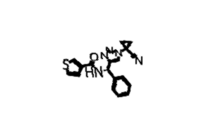 N#CC1(n2cc([C@@H](NC(=O)c3ccsc3)c3ccccc3)nn2)CC1